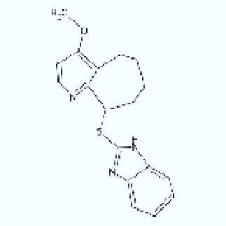 COc1ccnc2c1CCCCC2Sc1nc2ccccc2[nH]1